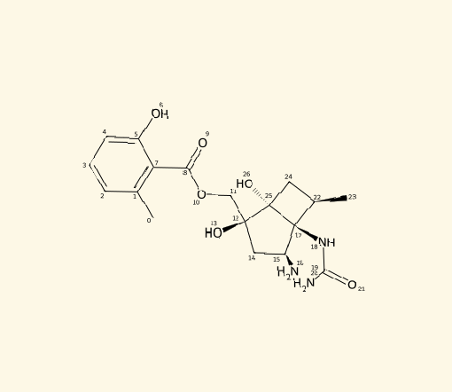 Cc1cccc(O)c1C(=O)OC[C@@]1(O)C[C@H](N)[C@@]2(NC(N)=O)[C@H](C)C[C@]12O